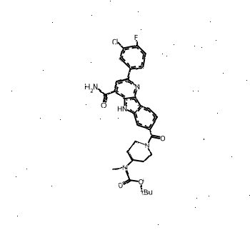 CN(C(=O)OC(C)(C)C)C1CCN(C(=O)c2ccc3c(c2)[nH]c2c(C(N)=O)cc(-c4ccc(F)c(Cl)c4)nc23)CC1